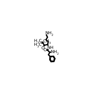 CC(C)(C)C(=O)C(CCCCN)NC(=O)C(N)Cc1ccccc1